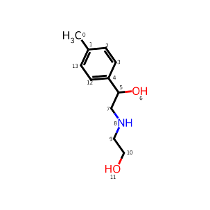 Cc1ccc(C(O)CNCCO)cc1